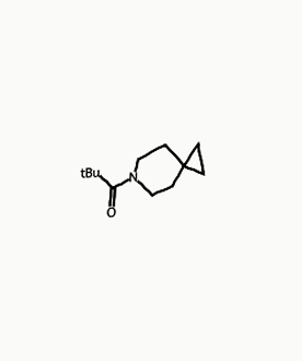 CC(C)(C)C(=O)N1CCC2(CC1)CC2